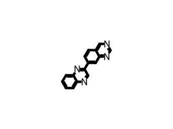 c1ccc2nc(-c3ccc4cncnc4c3)cnc2c1